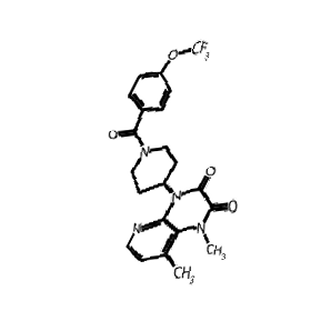 Cc1ccnc2c1n(C)c(=O)c(=O)n2C1CCN(C(=O)c2ccc(OC(F)(F)F)cc2)CC1